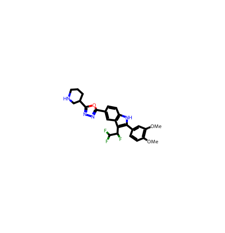 COc1ccc(-c2[nH]c3ccc(-c4nnc(C5CCCNC5)o4)cc3c2C(F)C(F)F)cc1OC